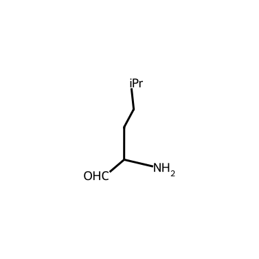 CC(C)CCC(N)C=O